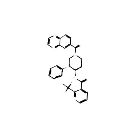 O=C(N[C@@H]1CCN(C(=O)c2ccc3nccnc3c2)C[C@@H]1c1ccccc1)c1cccnc1C(F)(F)F